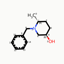 C[C@@H]1CC[C@@H](O)CN1Cc1ccccc1